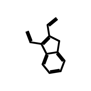 C=CC1=C(C=C)c2ccccc2C1